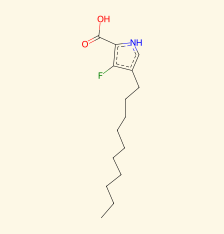 CCCCCCCCCCc1c[nH]c(C(=O)O)c1F